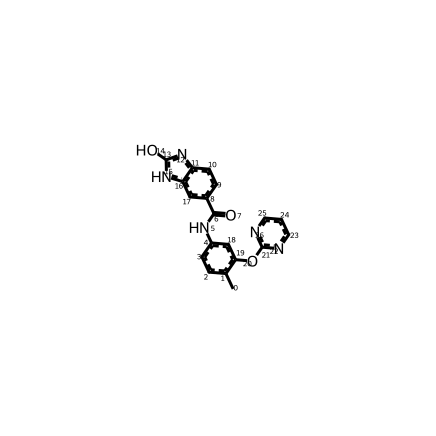 Cc1ccc(NC(=O)c2ccc3nc(O)[nH]c3c2)cc1Oc1ncccn1